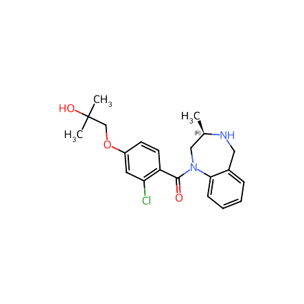 C[C@@H]1CN(C(=O)c2ccc(OCC(C)(C)O)cc2Cl)c2ccccc2CN1